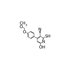 COCOc1ccc(-c2cc(O)nc(S)c2C#N)cc1